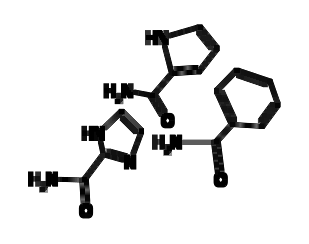 NC(=O)c1ccc[nH]1.NC(=O)c1ccccc1.NC(=O)c1ncc[nH]1